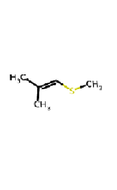 CSC=C(C)C